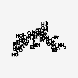 C/C=C/C[C@@H](C)[C@@H](O)[C@@H](C(=O)N[C@@H](CC)C(=O)N(C)[C@H](SCCCN(CC)CC)C(=O)N(C)[C@@H](CC(C)(C)O)C(=O)NC(C(=O)N(C)[C@@H](CC(C)C)C(=O)N[C@H](C)CO)C(C)C)N(C)C(=O)[C@H](C(C)C)N(C)C(=O)[C@H](CC(C)C)N(C)C(=O)[C@H](CC(C)C)N(C)C(=O)[C@@H](C)N